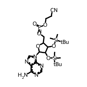 CC(C)(C)[Si](C)(C)OC1C(CO[PH](=O)OCCC#N)OC(n2cnc3c(N)ncnc32)C1O[Si](C)(C)C(C)(C)C